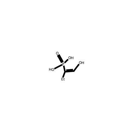 CCC(=CO)P(=O)(O)O